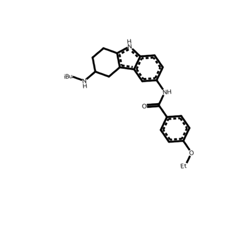 CCOc1ccc(C(=O)Nc2ccc3[nH]c4c(c3c2)CC(NC(C)CC)CC4)cc1